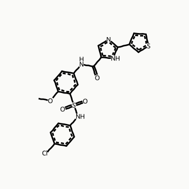 COc1ccc(NC(=O)c2cnc(-c3ccsc3)[nH]2)cc1S(=O)(=O)Nc1ccc(Cl)cc1